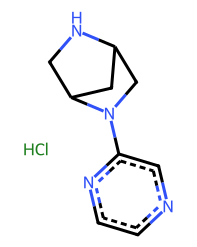 Cl.c1cnc(N2CC3CC2CN3)cn1